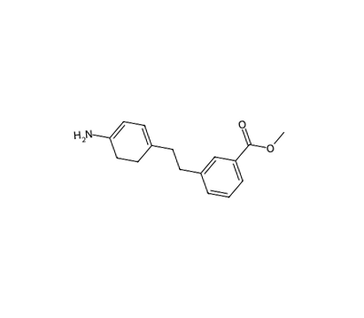 COC(=O)c1cccc(CCC2=CC=C(N)CC2)c1